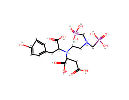 O=C(O)CC(C(=O)O)N(CCN(CP(=O)(O)O)CP(=O)(O)O)C(Cc1ccc(O)cc1)C(=O)O